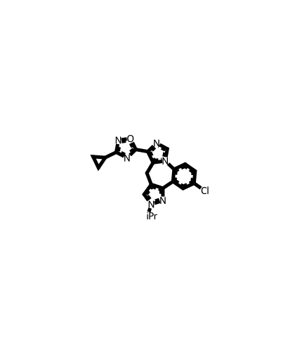 CC(C)n1cc2c(n1)-c1cc(Cl)ccc1-n1cnc(-c3nc(C4CC4)no3)c1C2